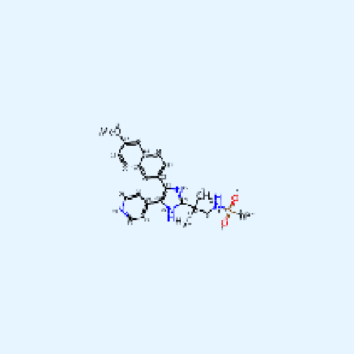 CCCS(=O)(=O)NCC(C)(C)c1nc(-c2ccc3cc(OC)ccc3c2)c(-c2ccncc2)[nH]1